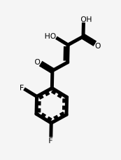 O=C(O)/C(O)=C/C(=O)c1ccc(F)cc1F